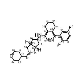 Fc1ccc(F)c(-c2nnc(N[C@H]3C[C@@H]4CN(CC5CCOCC5)C[C@@H]4C3)c3c2CCCC3)c1